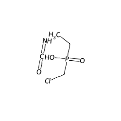 CCP(=O)(O)CCl.N=C=O